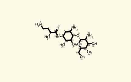 NCC[C@H](O)C(=O)N[C@@H]1CC(N)[C@@H](O[C@H]2OC(CO)[C@@H](O)[C@H](O)C2N)C(O)[C@@H]1O